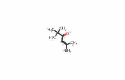 B/C(C)=C/C(=O)C(C)(C)C